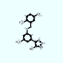 Cc1cc(OCc2cc(C(F)(F)F)ccc2C(F)(F)F)cc(-c2nn[nH]c2C#N)c1